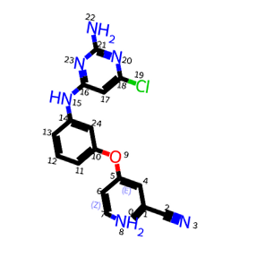 C=C(C#N)/C=C(\C=C/N)Oc1cccc(Nc2cc(Cl)nc(N)n2)c1